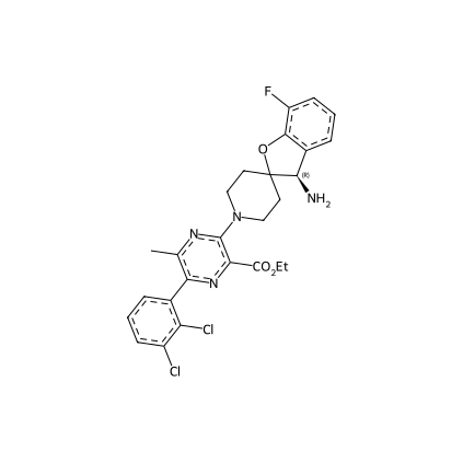 CCOC(=O)c1nc(-c2cccc(Cl)c2Cl)c(C)nc1N1CCC2(CC1)Oc1c(F)cccc1[C@H]2N